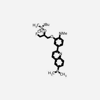 CNc1ccc(-c2ccc3cc(N(C)C)ccc3n2)cc1OCC(CF)O[Si](C)(C)C(C)(C)C